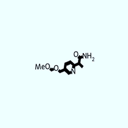 COCOCc1ccc(C(C)C(N)=O)nc1